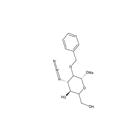 CO[C@@H]1OC(CO)[C@@H](O)[C@H](N=[N+]=[N-])C1OCc1ccccc1